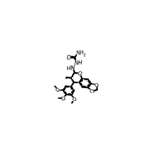 COc1cc(C2c3cc4c(cc3OC(NNC(N)=O)C2C)OCO4)cc(OC)c1OC